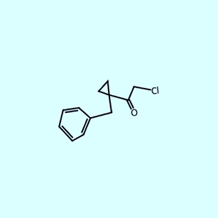 O=C(CCl)C1(Cc2ccccc2)CC1